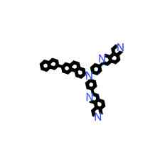 c1ccc2cc(-c3ccc4c(ccc5cc(N(c6ccc(-c7cc8ccc9cnccc9c8cn7)cc6)c6ccc(-c7cc8ccc9cnccc9c8cn7)cc6)ccc54)c3)ccc2c1